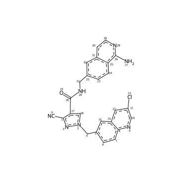 N#Cc1nn(Cc2ccc3ncc(Cl)cc3c2)cc1C(=O)NCc1ccc2c(N)nccc2c1